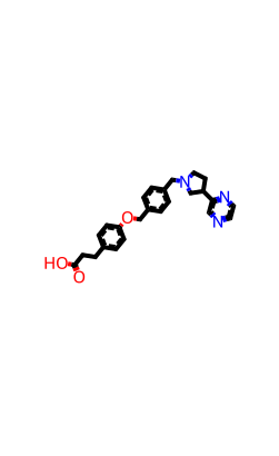 O=C(O)CCc1ccc(OCc2ccc(CN3CCC(c4cnccn4)C3)cc2)cc1